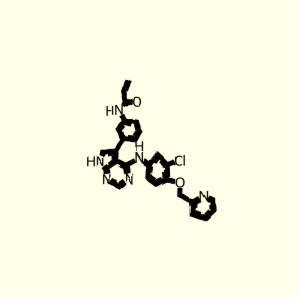 C=CC(=O)Nc1cccc(-c2c[nH]c3ncnc(Nc4ccc(OCc5ccccn5)c(Cl)c4)c23)c1